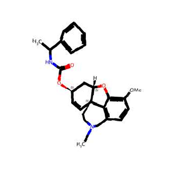 COc1ccc2c3c1O[C@H]1C[C@H](OC(=O)NC(C)c4ccccc4)C=C[C@@]31CCN(C)C2